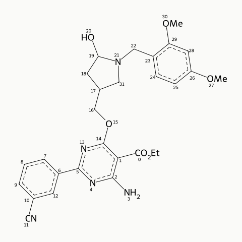 CCOC(=O)c1c(N)nc(-c2cccc(C#N)c2)nc1OCC1CC(O)N(Cc2ccc(OC)cc2OC)C1